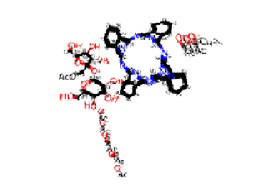 CC(=O)OC[C@@]1(O[C@H]2O[C@H](CO)[C@@H](O)[C@H](O)[C@H]2O)O[C@H](CO)[C@@H](O)[C@@H]1O.CC(=O)[O-].CC(=O)[O-].CC(=O)[O-].CC(=O)[O-].CC(=O)[O-].CC(=O)[O-].CC(=O)[O-].CC(=O)[O-].[Cu+2].c1ccc2c(c1)-c1nc-2nc2[nH]c(nc3nc(nc4[nH]c(n1)c1ccccc41)-c1ccccc1-3)c1ccccc21